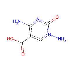 Nc1nc(=O)n(N)cc1C(=O)O